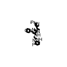 CC(C)n1cc(-c2cnc3c(NCc4nc5c(F)cccc5[nH]4)cc(N4CCOCC4)nn23)cn1